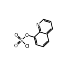 O=S(=O)(Cl)Oc1cccc2cccnc12